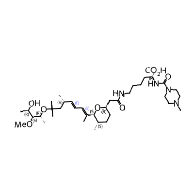 CO[C@@H]([C@@H](C)O)[C@@H](C)OC(C)(C)C[C@H](C)/C=C/C=C(\C)[C@H]1O[C@@H](CC(=O)NCCCC[C@@H](NC(=O)N2CCN(C)CC2)C(=O)O)CC[C@@H]1C